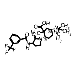 CC(C)(C)N[C@@H]1CC[C@H](N2CCC(NC(=O)c3cccc(C(F)(F)F)c3)C2=O)C(C)(C(=O)O)C1